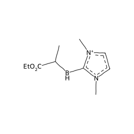 CCOC(=O)C(C)Bc1n(C)cc[n+]1C